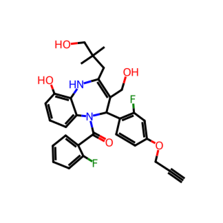 C#CCOc1ccc(C2C(CO)=C(CC(C)(C)CO)Nc3c(O)cccc3N2C(=O)c2ccccc2F)c(F)c1